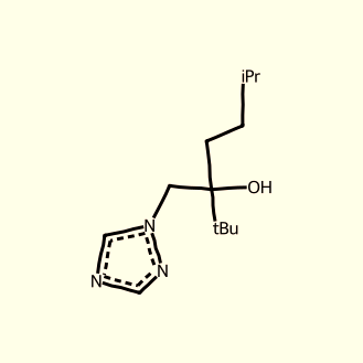 CC(C)CCC(O)(Cn1cncn1)C(C)(C)C